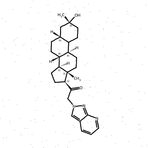 C[C@@]1(O)CCC2[C@H](CC[C@@H]3[C@@H]2CC[C@]2(C)[C@@H](C(=O)Cn4cc5cccnc5n4)CC[C@@H]32)C1